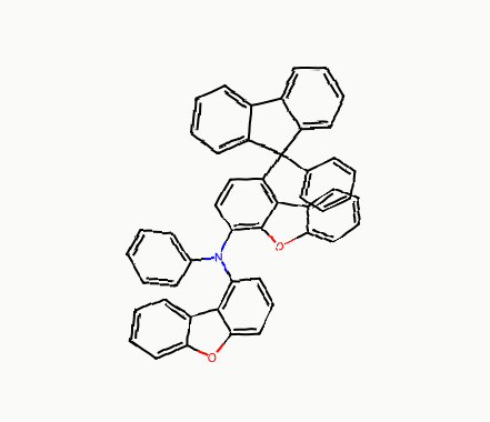 c1ccc(N(c2ccc(C3(c4ccccc4)c4ccccc4-c4ccccc43)c3c2oc2ccccc23)c2cccc3oc4ccccc4c23)cc1